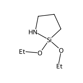 CCO[Si]1(OCC)CCCN1